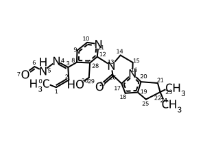 C/C=C\C(=N/NC=O)c1ccnc(N2CCn3c(cc4c3CC(C)(C)C4)C2=O)c1CO